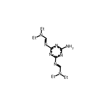 CCN(/C=N/c1nc(N)nc(/N=C/N(CC)CC)n1)CC